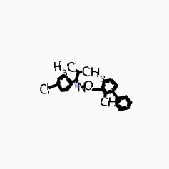 Cc1c(CO/N=C(/c2ccc(Cl)cc2)C(C)C)cccc1-c1ccccc1